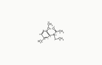 CCN(C(C)=O)c1cc(C)ccc1OC